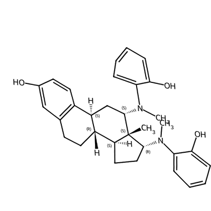 CN(c1ccccc1O)[C@H]1C[C@@H]2c3ccc(O)cc3CC[C@H]2[C@@H]2CC[C@@H](N(C)c3ccccc3O)[C@@]12C